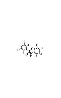 O=S(=O)(Nc1c(F)c(F)c(F)c(F)c1F)c1c(F)c(F)c(F)c(F)c1F